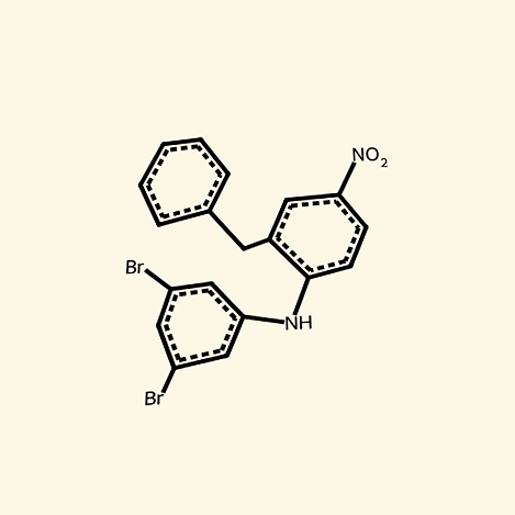 O=[N+]([O-])c1ccc(Nc2cc(Br)cc(Br)c2)c(Cc2ccccc2)c1